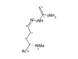 CN[C@@H](CC/C=N\NC(N)=S)C(C)=O